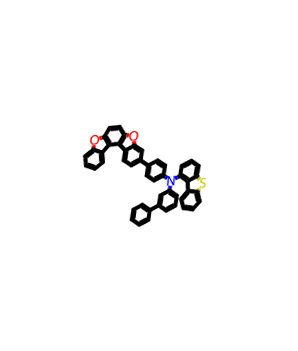 c1ccc(-c2cccc(N(c3ccc(-c4ccc5c(c4)oc4ccc6oc7ccccc7c6c45)cc3)c3cccc4sc5ccccc5c34)c2)cc1